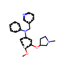 COc1ccc(N(Cc2cccnc2)c2ccccc2)cc1OC1CCN(C)C1